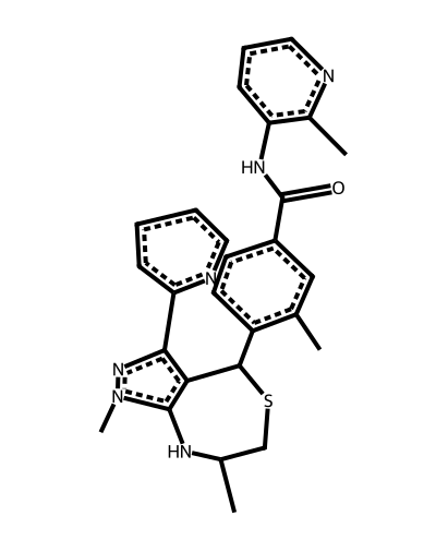 Cc1cc(C(=O)Nc2cccnc2C)ccc1C1SCC(C)Nc2c1c(-c1ccccn1)nn2C